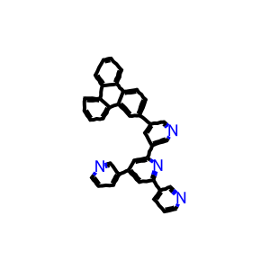 c1cncc(-c2cc(-c3cccnc3)nc(-c3cncc(-c4ccc5c6ccccc6c6ccccc6c5c4)c3)c2)c1